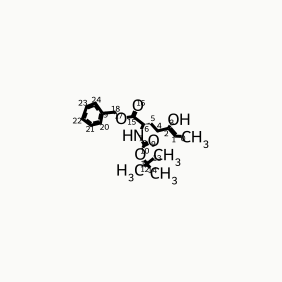 C/C=C(\O)CC[C@H](NC(=O)OC(C)(C)C)C(=O)OCc1ccccc1